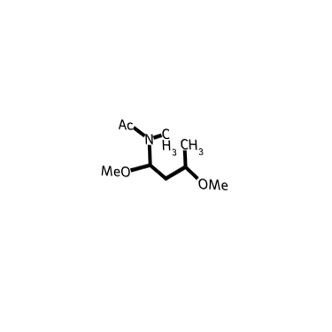 COC(C)CC(OC)N(C)C(C)=O